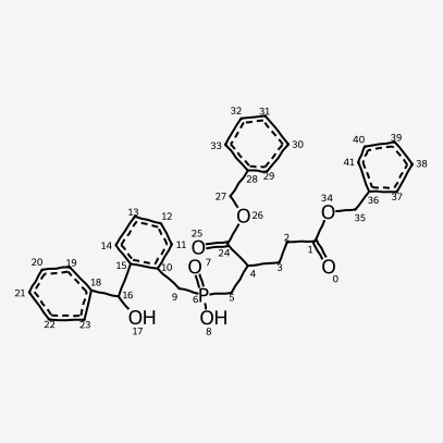 O=C(CCC(CP(=O)(O)Cc1ccccc1C(O)c1ccccc1)C(=O)OCc1ccccc1)OCc1ccccc1